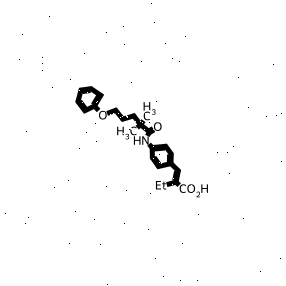 CC/C(=C\c1ccc(NC(=O)C(C)(C)CCCOc2ccccc2)cc1)C(=O)O